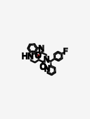 O=C(C1CCNCC1)N(Cc1nc2ccccc2o1)C(c1ccc(F)cc1)c1ccccn1